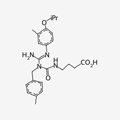 Cc1ccc(CN(C(=O)NCCCC(=O)O)/C(N)=N/c2ccc(OC(C)C)c(C)c2)cc1